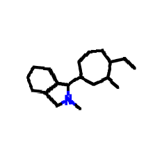 CCC1CCCC(C2C3CCCCC3CN2C)CC1C